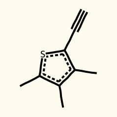 C#Cc1sc(C)c(C)c1C